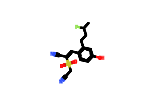 CC(F)CCc1cc(O)ccc1C=C(C#N)S(=O)(=O)CC#N